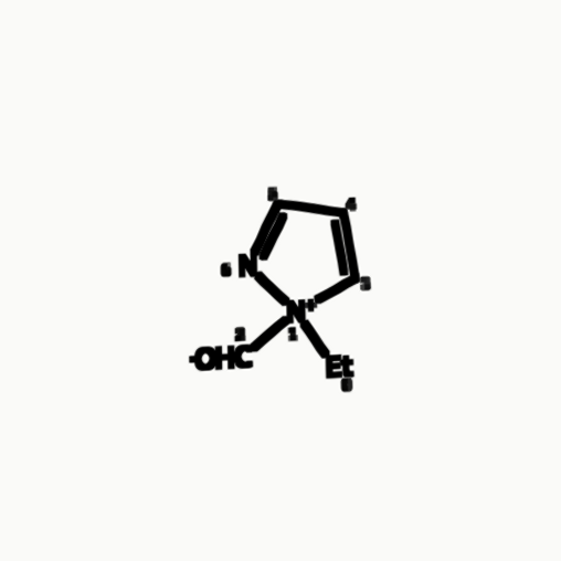 CC[N+]1([C]=O)C=CC=N1